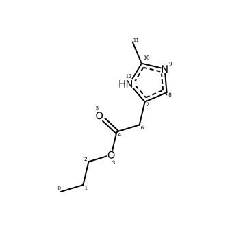 CCCOC(=O)Cc1[c]nc(C)[nH]1